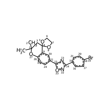 CC1(C)CC2(OCCO2)c2cc(-c3nc(-c4ccc(Br)cc4)no3)cnc2O1